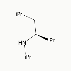 CC(C)C[C@H](NC(C)C)C(C)C